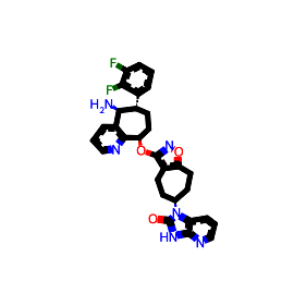 N[C@@H]1c2cccnc2[C@H](Oc2noc3c2CC[C@@H](n2c(=O)[nH]c4ncccc42)CC3)CC[C@H]1c1cccc(F)c1F